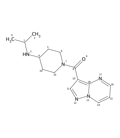 CC(C)NC1CCN(C(=O)c2cnn3cccnc23)CC1